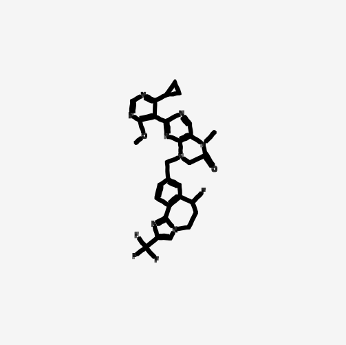 COc1ncnc(C2CC2)c1-c1ncc2c(n1)N(Cc1ccc3c(c1)C(F)CCn1cc(C(F)(F)F)nc1-3)CC(=O)N2C